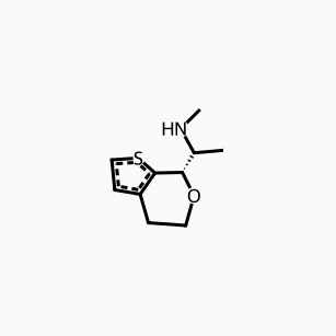 CNC(C)[C@@H]1OCCc2ccsc21